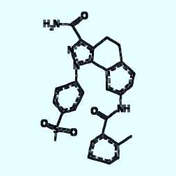 Cc1ccccc1C(=O)Nc1ccc2c(c1)-c1c(c(C(N)=O)nn1-c1ccc(S(C)(=O)=O)cc1)CC2